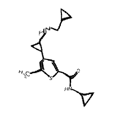 Cc1sc(C(=O)NC2CC2)cc1C1CC1NCC1CC1